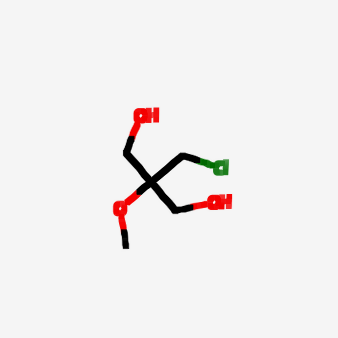 COC(CO)(CO)CCl